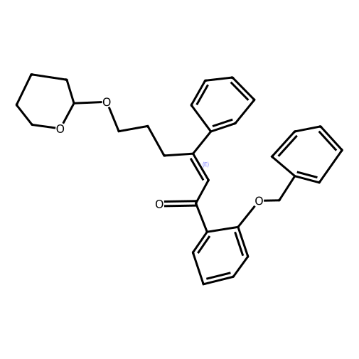 O=C(/C=C(\CCCOC1CCCCO1)c1ccccc1)c1ccccc1OCc1ccccc1